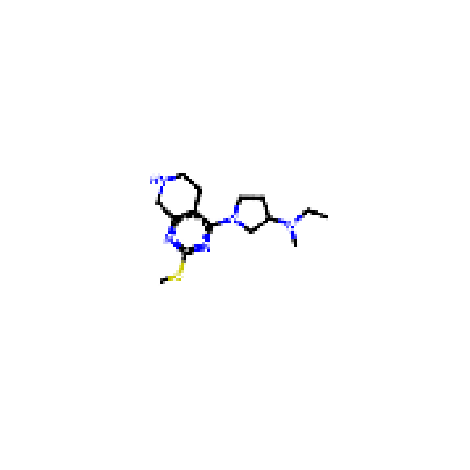 CCN(C)C1CCN(c2nc(SC)nc3c2CCNC3)C1